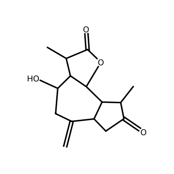 C=C1CC(O)C2C(C)C(=O)OC2C2C(C)C(=O)CC12